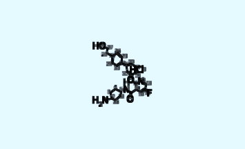 Cl.N[C@H]1CC[C@H](NC(=O)c2cc(F)cnc2Oc2cccc(-c3ccc(CCO)cc3)c2)CC1